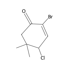 CC1(C)CC(=O)C(Br)=CC1Cl